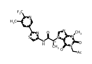 CC(=O)Cn1c(=O)c2c(ncn2[C@@H](C)C(=O)Nc2csc(-c3cnc(C(F)(F)F)c(C)c3)n2)n(C)c1=O